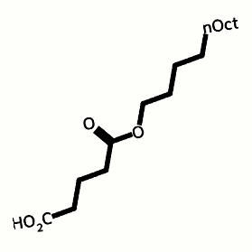 CCCCCCCCCCCCOC(=O)CCCC(=O)O